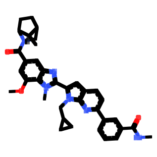 CNC(=O)c1cccc(-c2ccc3cc(-c4nc5cc(C(=O)N6CC7CCC6[C@@H]7C)cc(OC)c5n4C)n(CC4CC4)c3n2)c1